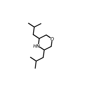 CC(C)CC1COCC(CC(C)C)N1